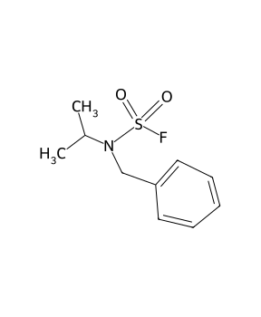 CC(C)N(Cc1ccccc1)S(=O)(=O)F